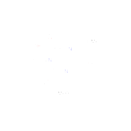 COCn1c(=O)n(CO)c(=O)n(COC)c1=O